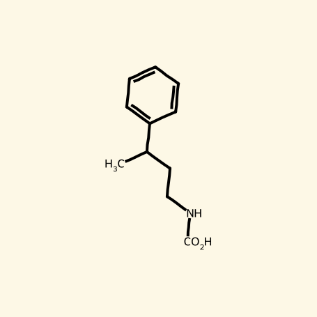 CC(CCNC(=O)O)c1ccccc1